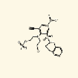 C#Cc1cc([N+](=O)[O-])cc(S(=O)(=O)N2CCc3cnccc3C2)c1N(CCBr)CCOS(C)(=O)=O